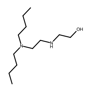 CCCCN(CCCC)CCNCCO